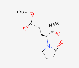 CNC(=O)[C@H](CCC(=O)OC(C)(C)C)N1CCCC1=O